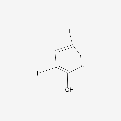 OC1=C(I)C=C(I)C[CH]1